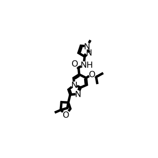 CC(C)Oc1cc2nc(C34COC(C)(C3)C4)cn2cc1C(=O)Nc1ccn(C)n1